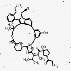 C=CC(=O)N1CCC(O)(C(=O)N(C)[C@H](C(=O)N[C@H]2Cc3cc(O)cc(c3)-c3ccc4c(c3)c(c(-c3cccnc3COC)n4CC#N)CC(C)(C)COC(=O)[C@@]3(O)CCCN(N3)C2=O)C(C)C)C1